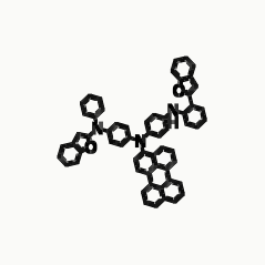 c1ccc(N(c2ccc(N(c3ccc(Nc4ccccc4-c4cc5ccccc5o4)cc3)c3ccc4c5cccc6cccc(c7cccc3c74)c65)cc2)c2cc3ccccc3o2)cc1